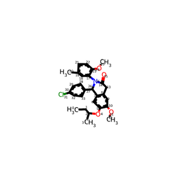 CCC(C)Oc1cc2c(cc1OC)CC(=O)N(c1cc(C)ccc1OC)C2c1ccc(Cl)cc1